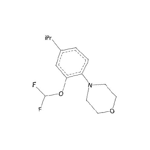 CC(C)c1ccc(N2CCOCC2)c(OC(F)F)c1